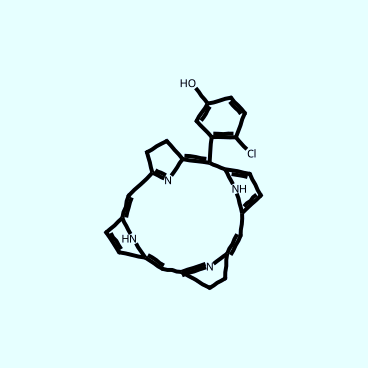 Oc1ccc(Cl)c(-c2c3nc(cc4ccc(cc5nc(cc6ccc2[nH]6)CC5)[nH]4)CC3)c1